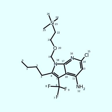 CCCCc1c(C(F)(F)F)c2c(N)cc(Cl)nc2n1COCC[Si](C)(C)C